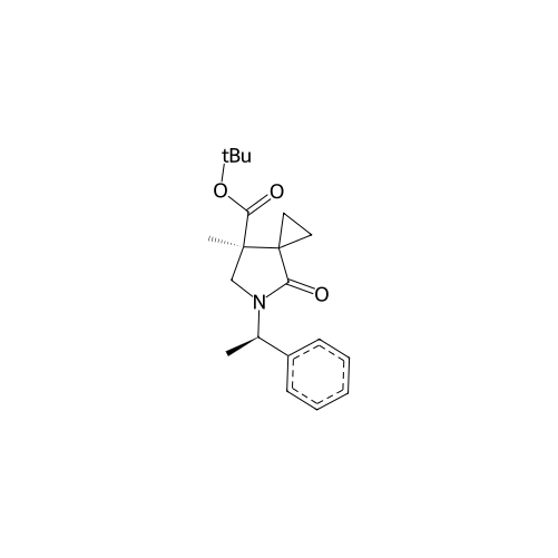 C[C@H](c1ccccc1)N1C[C@@](C)(C(=O)OC(C)(C)C)C2(CC2)C1=O